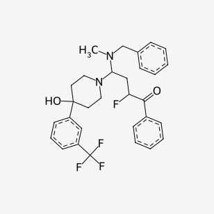 CN(Cc1ccccc1)C(CC(F)C(=O)c1ccccc1)N1CCC(O)(c2cccc(C(F)(F)F)c2)CC1